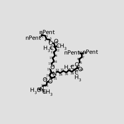 CCCCCC(CCCCC)CCCOC(=O)C(C)(C)CCCCCCOCC1C[C@H](OC(=O)CCN(C)C)CN1CCCCCCC(C)(C)C(=O)OCCCC(CCCCC)CCCCC